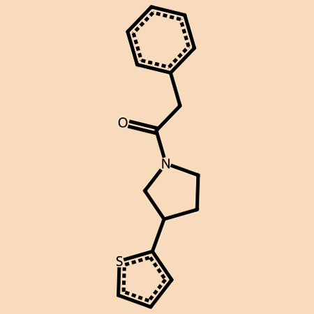 O=C(Cc1ccccc1)N1CCC(c2cccs2)C1